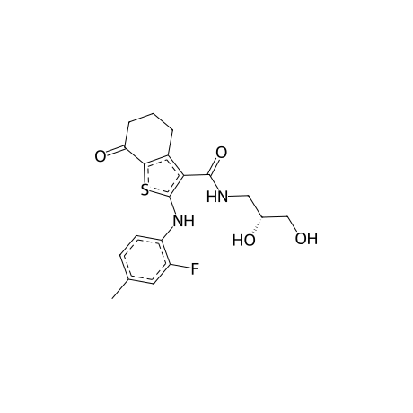 Cc1ccc(Nc2sc3c(c2C(=O)NC[C@@H](O)CO)CCCC3=O)c(F)c1